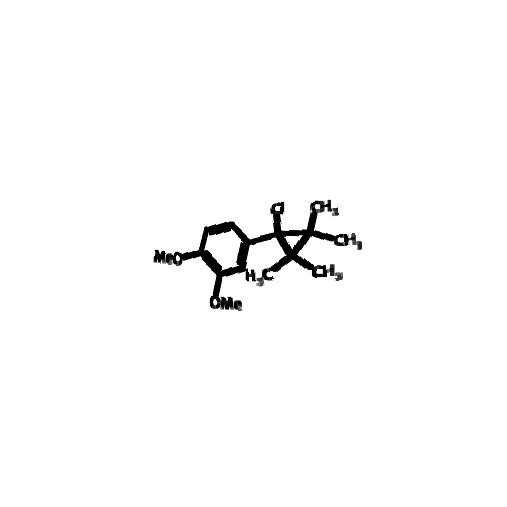 COc1ccc(C2(Cl)C(C)(C)C2(C)C)cc1OC